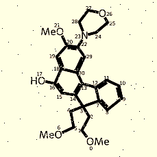 COCCC1(CCOC)c2ccccc2-c2c1cc(O)c1cc(OC)c(N3CCOCC3)cc21